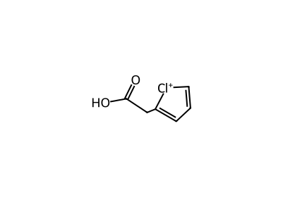 O=C(O)CC1=CC=C[Cl+]1